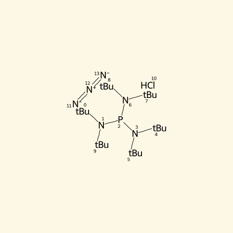 CC(C)(C)N(P(N(C(C)(C)C)C(C)(C)C)N(C(C)(C)C)C(C)(C)C)C(C)(C)C.Cl.[N-]=[N+]=[N-]